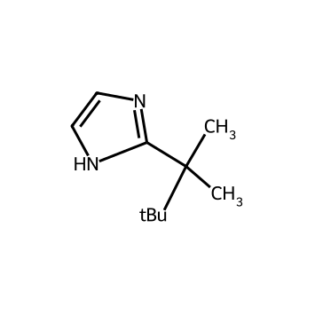 CC(C)(C)C(C)(C)c1ncc[nH]1